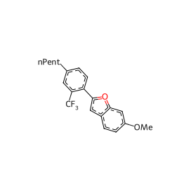 CCCCCc1ccc(-c2cc3ccc(OC)cc3o2)c(C(F)(F)F)c1